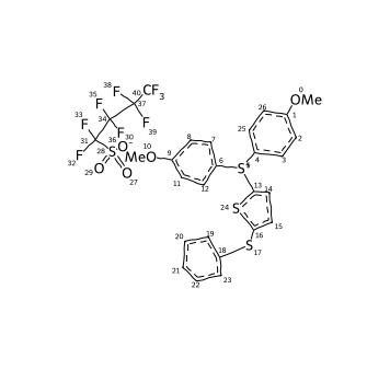 COc1ccc([S+](c2ccc(OC)cc2)c2ccc(Sc3ccccc3)s2)cc1.O=S(=O)([O-])C(F)(F)C(F)(F)C(F)(F)C(F)(F)F